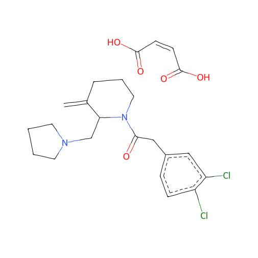 C=C1CCCN(C(=O)Cc2ccc(Cl)c(Cl)c2)C1CN1CCCC1.O=C(O)/C=C\C(=O)O